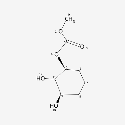 COC(=O)O[C@H]1CCC[C@@H](O)C1O